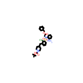 CC(C)(C)OC(=O)N1CCC(Cc2cccc(S(=O)(=O)N(CC(=O)OCc3ccccc3)c3ccccc3N)c2Cl)CC1